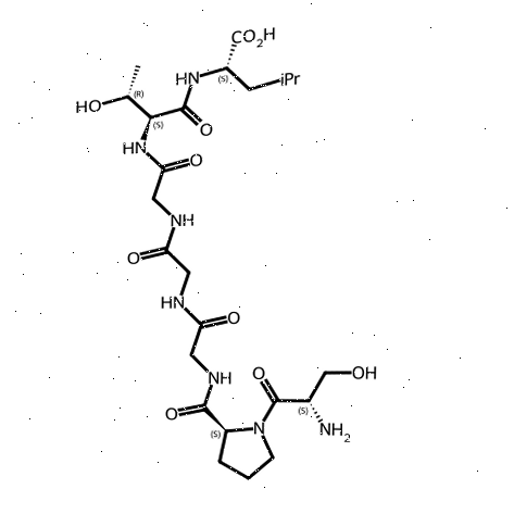 CC(C)C[C@H](NC(=O)[C@@H](NC(=O)CNC(=O)CNC(=O)CNC(=O)[C@@H]1CCCN1C(=O)[C@@H](N)CO)[C@@H](C)O)C(=O)O